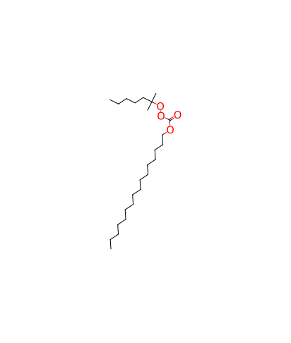 CCCCCCCCCCCCCCCCOC(=O)OOC(C)(C)CCCCC